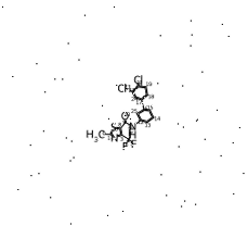 Cc1nc(C(F)(F)F)c(C(=O)Nc2cccc(-c3ccc(Cl)c(Cl)c3)c2)s1